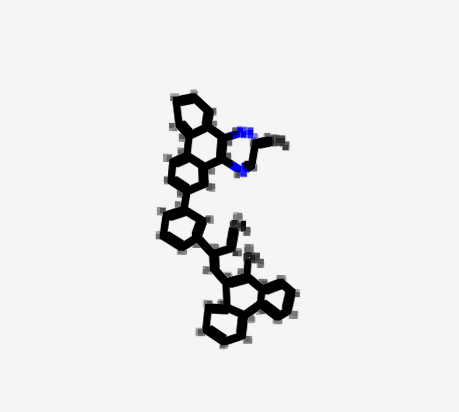 C=C/C=N\c1c(N)c2ccccc2c2ccc(-c3cccc(/C(C=C)=C/c4c(C)c5ccccc5c5ccccc45)c3)cc12